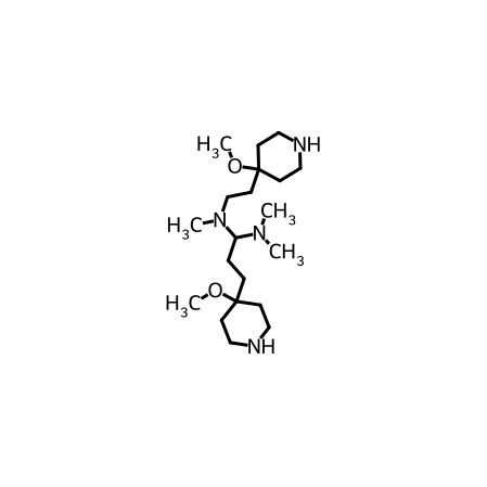 COC1(CCC(N(C)C)N(C)CCC2(OC)CCNCC2)CCNCC1